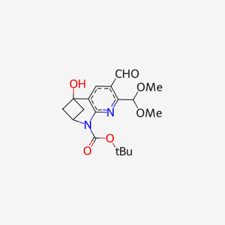 COC(OC)c1nc2c(cc1C=O)C1(O)CC(C1)N2C(=O)OC(C)(C)C